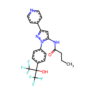 CCCC(=O)Nc1cc(-c2ccncc2)nn1-c1ccc(C(O)(C(F)(F)F)C(F)(F)F)cc1